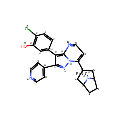 CCOC(=O)N1C2CCC1CC(c1ccnc3c(-c4ccc(Cl)c(O)c4)c(-c4ccncc4)nn13)C2